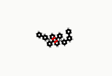 C1=CC(N(c2cccc(-c3cccc(-c4ccccc4)c3)c2)c2ccccc2-c2ccc(-c3ccccc3N(c3ccccc3)c3ccc(-c4ccccc4)cc3)cc2)=CCC1